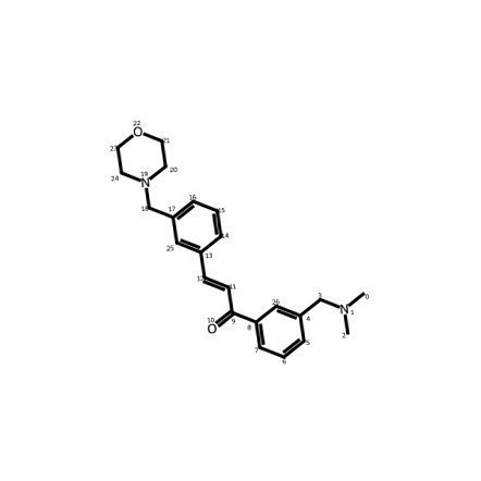 CN(C)Cc1cccc(C(=O)C=Cc2cccc(CN3CCOCC3)c2)c1